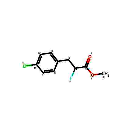 COC(=O)C(F)Cc1ccc(Cl)cc1